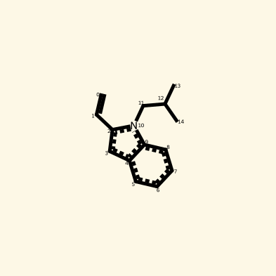 C=Cc1cc2ccccc2n1CC(C)C